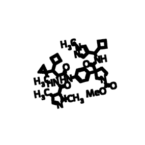 COC(=O)N1CCC(C(=O)NC(c2cnn(C)c2)C2CCC2)(c2ccc(NC(=O)[C@@H](NC(=O)C3C(C)C=NN3C)C(C3CCC3)C3(C)CC3)cc2)C1